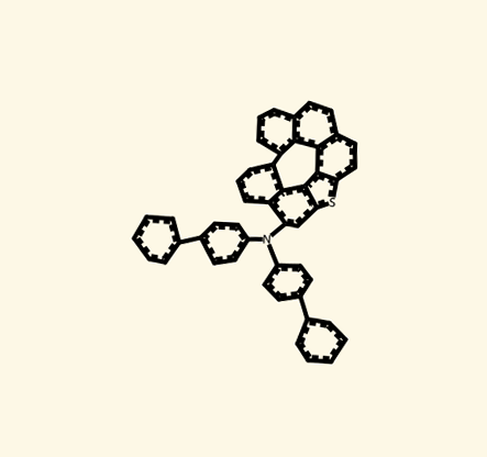 c1ccc(-c2ccc(N(c3ccc(-c4ccccc4)cc3)c3cc4sc5ccc6ccc7cccc8c7c6c5c4c4c-8cccc34)cc2)cc1